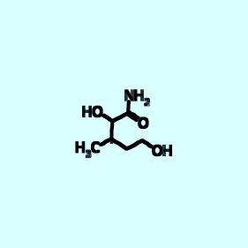 C[C](CCO)C(O)C(N)=O